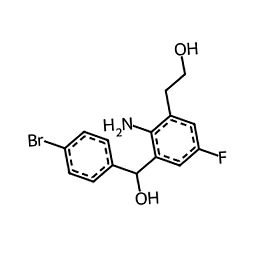 Nc1c(CCO)cc(F)cc1C(O)c1ccc(Br)cc1